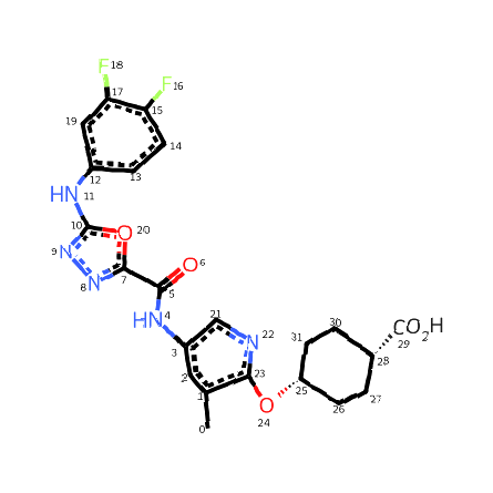 Cc1cc(NC(=O)c2nnc(Nc3ccc(F)c(F)c3)o2)cnc1O[C@H]1CC[C@@H](C(=O)O)CC1